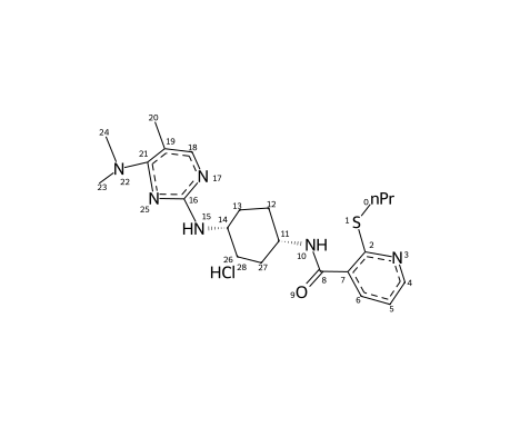 CCCSc1ncccc1C(=O)N[C@H]1CC[C@@H](Nc2ncc(C)c(N(C)C)n2)CC1.Cl